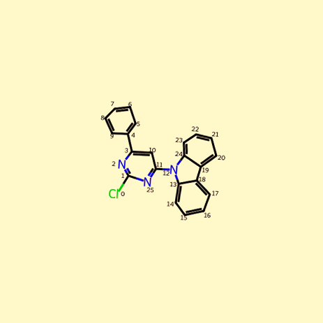 Clc1nc(-c2ccccc2)cc(-n2c3ccccc3c3ccccc32)n1